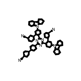 N#Cc1ccc(-c2ccc(-c3nc(-c4ccc(-n5c6ccccc6c6ccccc65)cc4-c4cccc(C#N)c4)nc(-c4ccc(-n5c6ccccc6c6ccccc65)cc4-c4cccc(C#N)c4)n3)cc2)cc1